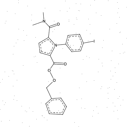 CN(C)C(=O)c1ccc(C(=O)OOCc2ccccc2)n1-c1ccc(I)cc1